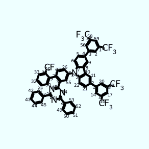 FC(F)(F)c1cc(-c2ccc3c(c2)c2cc(-c4cc(C(F)(F)F)cc(C(F)(F)F)c4)ccc2n3-c2ccc(-c3ccccc3C(F)(F)F)c(-c3nc(-c4ccccc4)nc(-c4ccccc4)n3)c2)cc(C(F)(F)F)c1